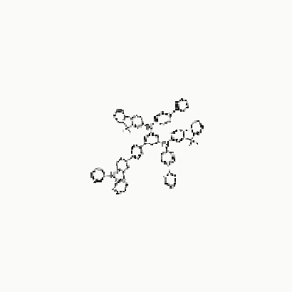 CC1(C)c2ccccc2-c2ccc(N(c3ccc(-c4ccccc4)cc3)c3cc(-c4ccc(-c5ccc6c(c5)c5ccccc5n6-c5ccccc5)cc4)cc(N(c4ccc(-c5ccccc5)cc4)c4ccc5c(c4)C(C)(C)c4ccccc4-5)c3)cc21